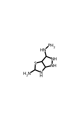 NC1NC2NNC(NP)C2S1